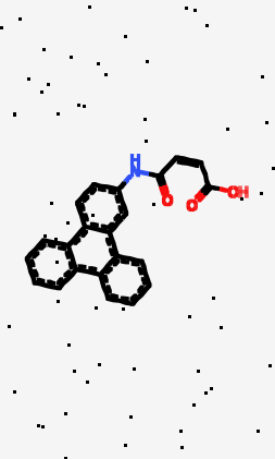 O=C(O)/C=C\C(=O)Nc1ccc2c3ccccc3c3ccccc3c2c1